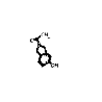 CC(=O)N1Cc2ccc(O)cc2C1